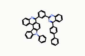 c1ccc(-c2ccc(-c3nc(-c4cccc(-c5nc6ccccc6c6c5ccc5c6c6ccccc6n5-c5ccccc5)c4)nc4ccccc34)cc2)cc1